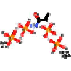 C=CC(N)=O.O=P([O-])([O-])[O-].O=P([O-])([O-])[O-].O=P([O-])([O-])[O-].O=P([O-])([O-])[O-].[Zr+4].[Zr+4].[Zr+4]